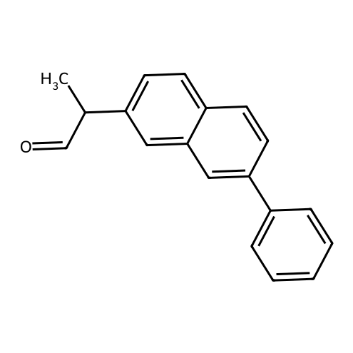 CC(C=O)c1ccc2ccc(-c3ccccc3)cc2c1